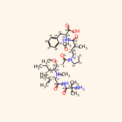 CC[C@H](C)[C@@H]([C@@H](CC(=O)N1CCC[C@H]1[C@H](OC)[C@@H](C)C(=O)N[C@@H](Cc1ccccc1)C(=O)O)OC)N(C)[C@H](C(=O)NC(=O)C(C)(C)N)C(C)C